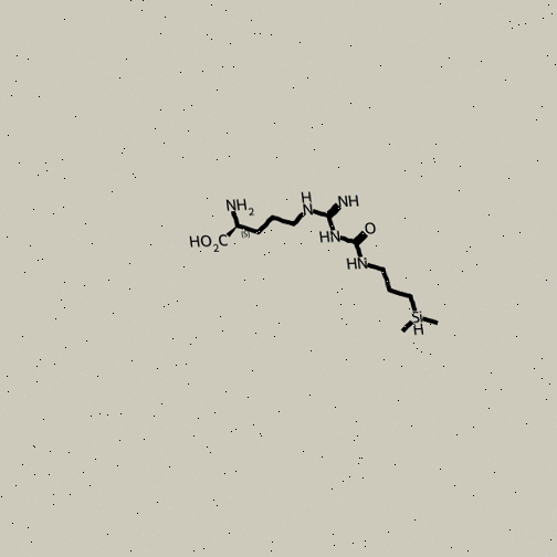 C[SiH](C)CCCNC(=O)NC(=N)NCCC[C@H](N)C(=O)O